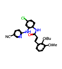 COc1cccc(C=CC(=O)Nc2ccc(Cl)cc2Nc2ccc(C#N)cn2)c1OCC(C)C